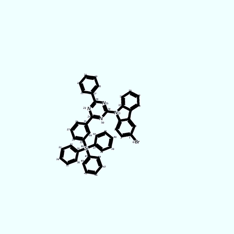 Brc1ccc2c(c1)c1ccccc1n2-c1nc(-c2ccccc2)nc(-c2cccc([Si](c3ccccc3)(c3ccccc3)c3ccccc3)c2)n1